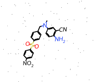 CN(Cc1ccc(S(=O)(=O)c2ccc([N+](=O)[O-])cc2)cc1)c1ccc(N)c(C#N)c1